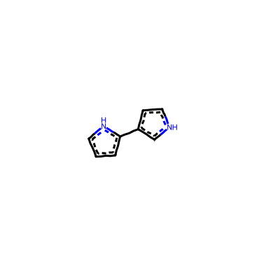 [c]1[nH]ccc1-c1ccc[nH]1